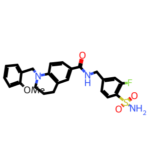 COc1ccccc1CN1CCCc2cc(C(=O)NCc3ccc(S(N)(=O)=O)c(F)c3)ccc21